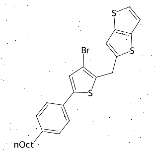 CCCCCCCCc1ccc(-c2cc(Br)c(Cc3cc4sccc4s3)s2)cc1